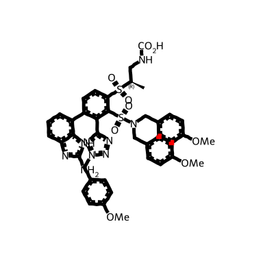 COc1ccc(CN(Cc2ccc(OC)cc2)S(=O)(=O)c2c(S(=O)(=O)[C@H](C)CNC(=O)O)ccc(-c3cccc4nc(N)[nH]c34)c2-c2nnn(Cc3ccc(OC)cc3)n2)cc1